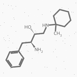 CC1(NC[C@@H](O)[C@@H](N)Cc2ccccc2)CCCCC1